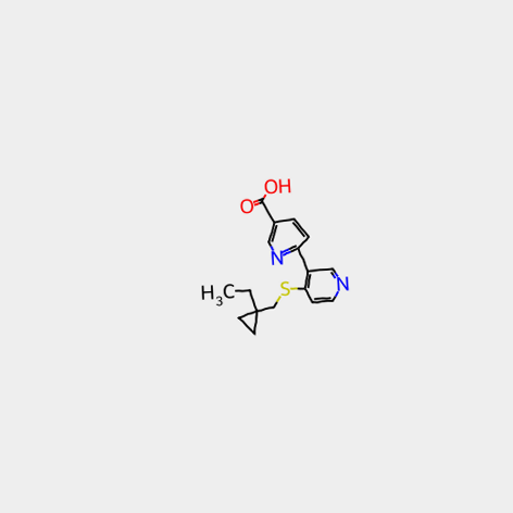 CCC1(CSc2ccncc2-c2ccc(C(=O)O)cn2)CC1